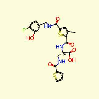 Cc1cc(C(=O)NCc2ccc(F)c(O)c2)sc1C(=O)N[C@@H](CNC(=O)c1cccs1)C(=O)O